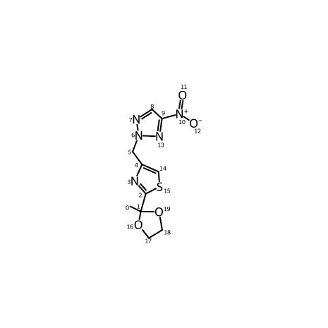 CC1(c2nc(Cn3ncc([N+](=O)[O-])n3)cs2)OCCO1